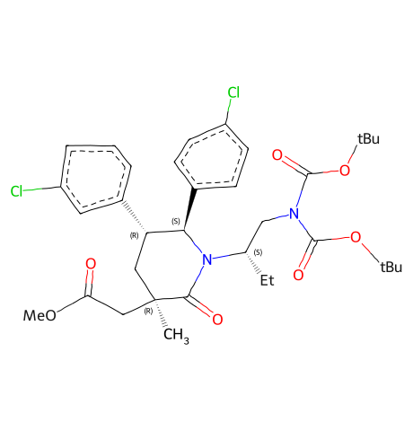 CC[C@@H](CN(C(=O)OC(C)(C)C)C(=O)OC(C)(C)C)N1C(=O)[C@@](C)(CC(=O)OC)C[C@H](c2cccc(Cl)c2)[C@H]1c1ccc(Cl)cc1